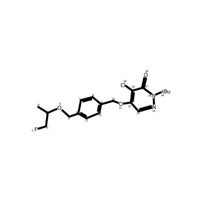 CC(CF)OCc1ccc(COc2cnn(C(C)(C)C)c(=O)c2Cl)cc1